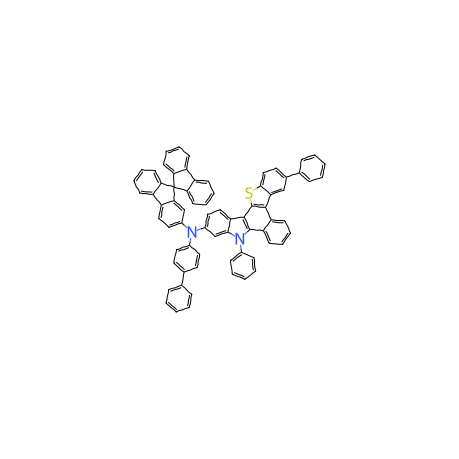 c1ccc(-c2ccc(N(c3ccc4c(c3)C3(c5ccccc5-c5ccccc53)c3ccccc3-4)c3ccc4c5c6sc7ccc(-c8ccccc8)cc7c6c6ccccc6c5n(-c5ccccc5)c4c3)cc2)cc1